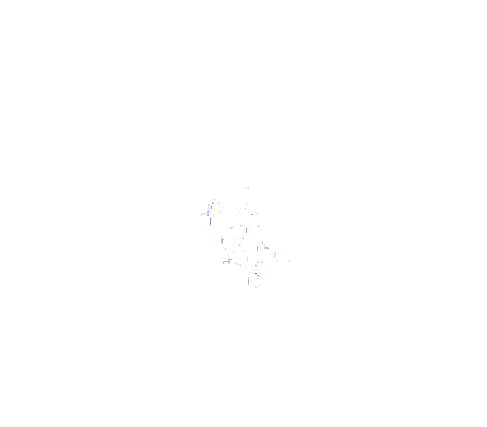 CCCCCCCC(=O)Oc1ccc(C[N+]2(CC(=O)N[C@@H](CCc3ccccc3)C(=O)N[C@@H](CC(C)C)C(=O)N[C@@H](Cc3ccccc3)C(=O)N[C@@H](CC(C)C)C(=O)[C@@]3(C)CO3)CCOCC2)cc1OCc1c[nH]nn1